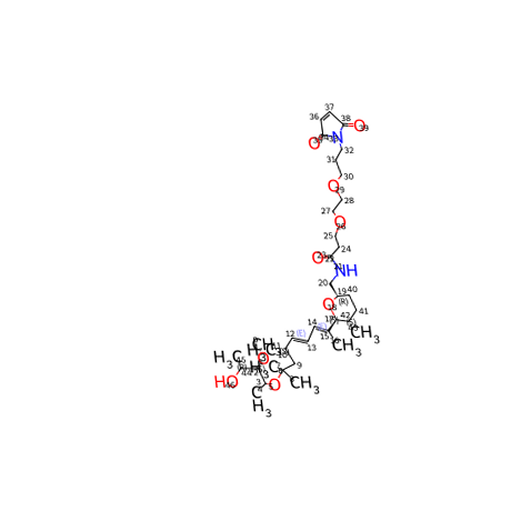 CO[C@H](C(C)OC(C)(C)C[C@H](C)/C=C/C=C(\C)[C@H]1O[C@@H](CNC(=O)CCOCCOCCCN2C(=O)C=CC2=O)CC[C@@H]1C)[C@@H](C)O